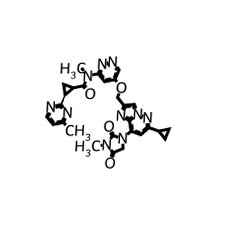 Cc1ccnc([C@H]2CC2C(=O)N(C)c2cc(OCc3cn4nc(C5CC5)cc(N5CC(=O)N(C)C5=O)c4n3)cnn2)n1